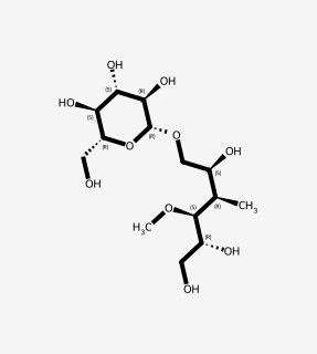 CO[C@@H]([C@H](C)[C@H](O)CO[C@@H]1O[C@H](CO)[C@@H](O)[C@H](O)[C@H]1O)[C@H](O)CO